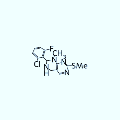 CSc1ncc2c(n1)N(C)C(c1c(F)cccc1Cl)NC2